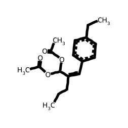 CCCC(=Cc1ccc(CC)cc1)C(OC(C)=O)OC(C)=O